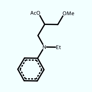 CCN(CC(COC)OC(C)=O)c1ccccc1